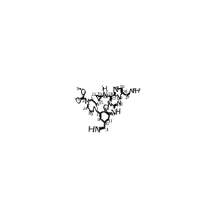 COC(=O)N1CCN(c2cc(C=N)cc(Nc3nc(NC4CC4)c4ncc(C=N)n4n3)c2Cl)CC1